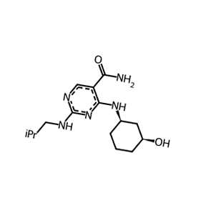 CC(C)CNc1ncc(C(N)=O)c(N[C@@H]2CCC[C@H](O)C2)n1